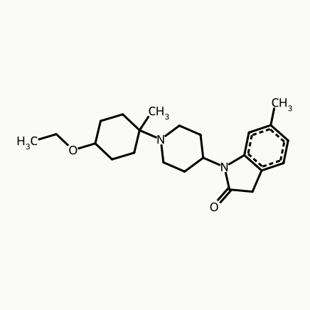 CCOC1CCC(C)(N2CCC(N3C(=O)Cc4ccc(C)cc43)CC2)CC1